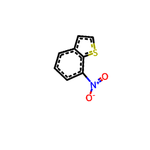 O=[N+]([O-])c1cccc2ccsc12